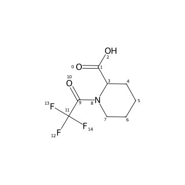 O=C(O)C1CCCCN1C(=O)C(F)(F)F